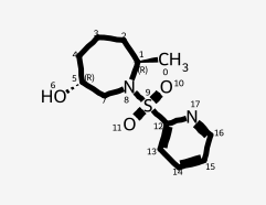 C[C@@H]1CCC[C@@H](O)CN1S(=O)(=O)c1ccccn1